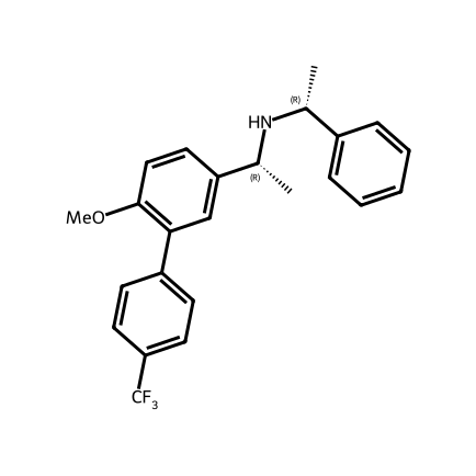 COc1ccc([C@@H](C)N[C@H](C)c2ccccc2)cc1-c1ccc(C(F)(F)F)cc1